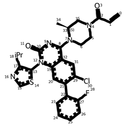 C=CC(=O)N1CCN(c2nc(=O)n(-c3scnc3C(C)C)c3cc(-c4ccccc4F)c(Cl)cc23)[C@@H](C)C1